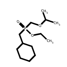 CCOP(=O)(COC(C)C)CC1CCCCC1